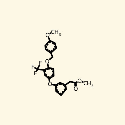 COC(=O)Cc1cccc(Oc2ccc(OCc3ccc(OC)cc3)c(C(F)(F)F)c2)c1